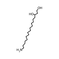 NCCCCCCCCCCCCCCCC(O)CCO